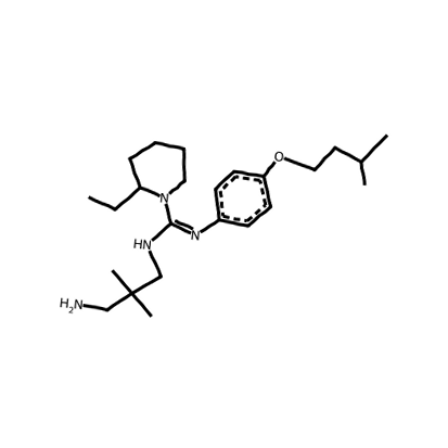 CCC1CCCCN1/C(=N\c1ccc(OCCC(C)C)cc1)NCC(C)(C)CN